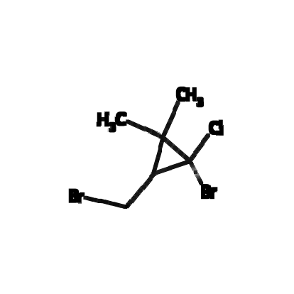 CC1(C)C(CBr)C1(Cl)Br